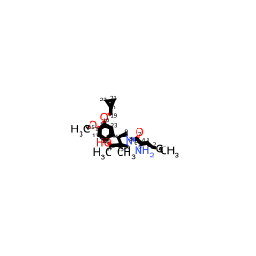 CCCC[C@@H](N)C(=O)N1C[C@@H](c2ccc(OC)c(OCC3CC3)c2)[C@](C)([C@@H](C)O)C1